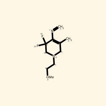 C=NC1=C(C)CN(CCOC)CC1(F)F